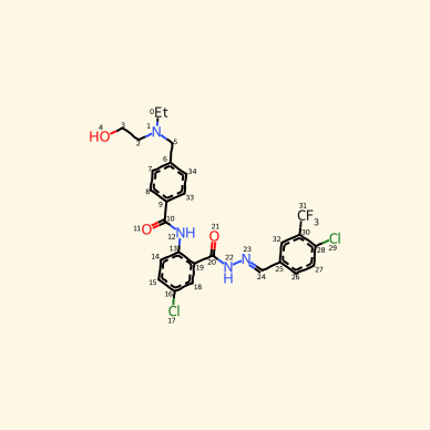 CCN(CCO)Cc1ccc(C(=O)Nc2ccc(Cl)cc2C(=O)NN=Cc2ccc(Cl)c(C(F)(F)F)c2)cc1